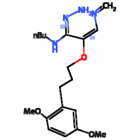 C=N/C=C(OCCCc1cc(OC)ccc1OC)\C(=N/N)NCCCC